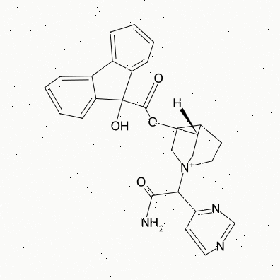 NC(=O)C(c1ccncn1)[N+]12CCC(CC1)[C@@H](OC(=O)C1(O)c3ccccc3-c3ccccc31)C2